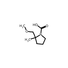 COCC1(C)CCCN1C(=O)O